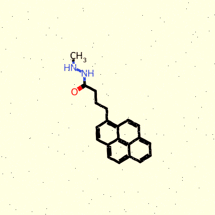 CNNC(=O)CCCc1ccc2ccc3cccc4ccc1c2c34